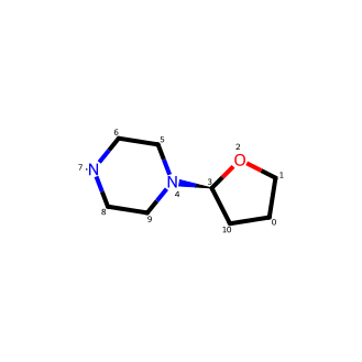 C1CO[C@H](N2CC[N]CC2)C1